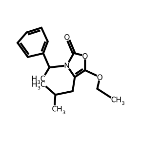 CCOc1oc(=O)n(C(C)c2ccccc2)c1CC(C)C